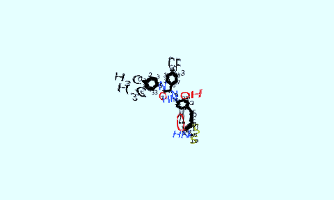 Cc1ccc(N2C(=O)C(=NNc3ccc(C=C4SC(=S)NC4=O)cc3O)c3ccc(C(F)(F)F)cc32)cc1C